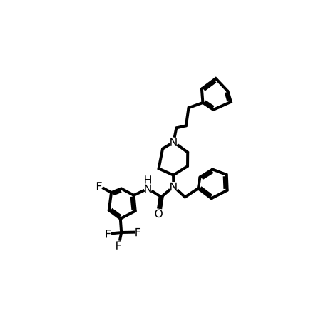 O=C(Nc1cc(F)cc(C(F)(F)F)c1)N(Cc1ccccc1)C1CCN(CCCc2ccccc2)CC1